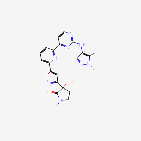 Cc1c(Nc2nccc(-c3cccc(-c4cc(C5(O)CCN(C)C5=O)no4)n3)n2)cnn1C